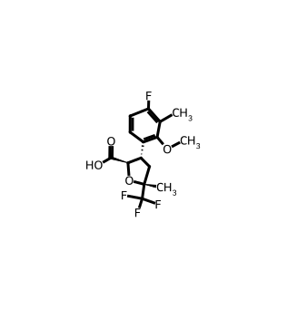 COc1c([C@@H]2C[C@](C)(C(F)(F)F)O[C@H]2C(=O)O)ccc(F)c1C